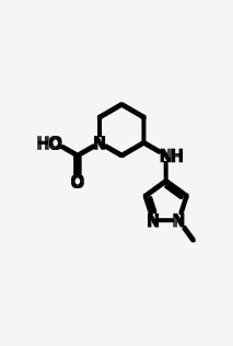 Cn1cc(NC2CCCN(C(=O)O)C2)cn1